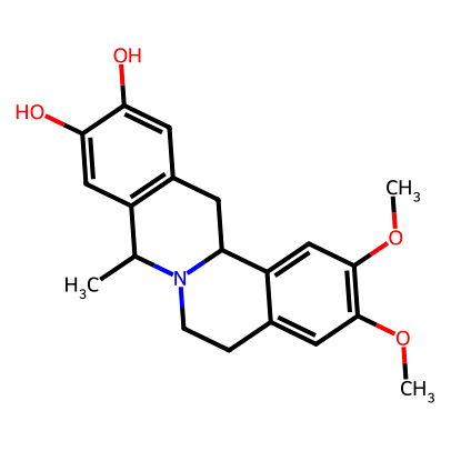 COc1cc2c(cc1OC)C1Cc3cc(O)c(O)cc3C(C)N1CC2